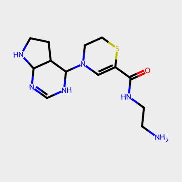 NCCNC(=O)C1=CN(C2NC=NC3NCCC32)CCS1